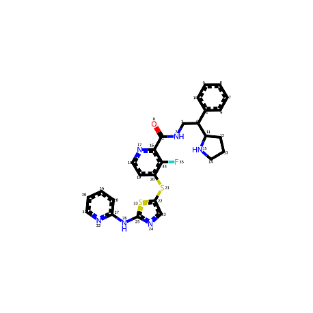 O=C(NCC(c1ccccc1)C1CCCN1)c1nccc(Sc2cnc(Nc3ccccn3)s2)c1F